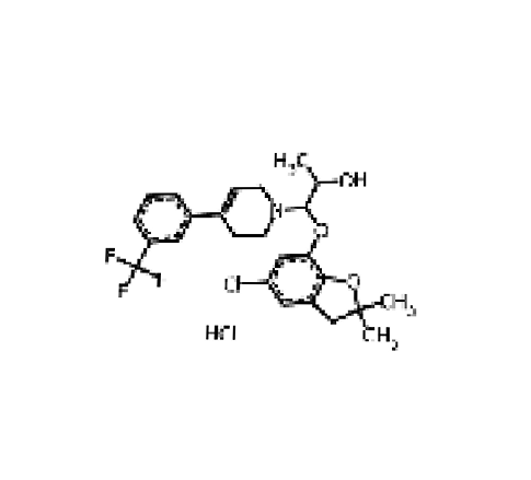 CC(O)C(Oc1cc(Cl)cc2c1OC(C)(C)C2)N1CC=C(c2cccc(C(F)(F)F)c2)CC1.Cl